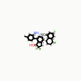 Cc1ccc(-c2ccc([C@H]3CC[C@H](F)c4cc(F)cc(C#N)c43)c3c2[C@H](O)C(F)(F)C3)c(N)c1